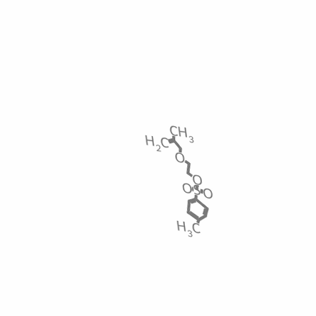 C=C(C)COCCOS(=O)(=O)c1ccc(C)cc1